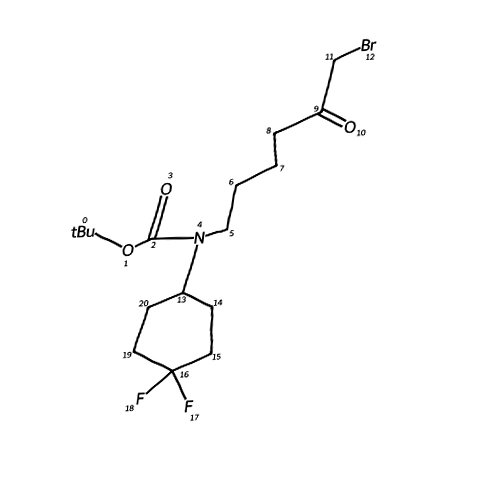 CC(C)(C)OC(=O)N(CCCCC(=O)CBr)C1CCC(F)(F)CC1